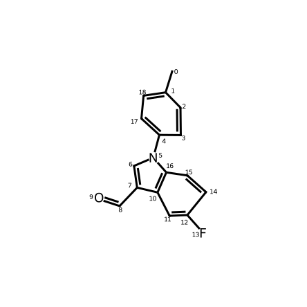 Cc1ccc(-n2cc(C=O)c3cc(F)ccc32)cc1